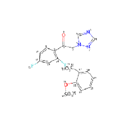 O=C(Cn1cncn1)c1ccc(F)cc1F.O=C(O)c1ccccc1OS(=O)(=O)O